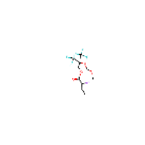 CCC(I)C(=O)OCC(OCOC)(C(F)(F)F)C(F)(F)F